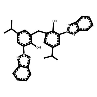 CC(C)c1cc(Cc2cc(C(C)C)cc(-n3nc4ccccc4n3)c2O)c(O)c(-n2nc3ccccc3n2)c1